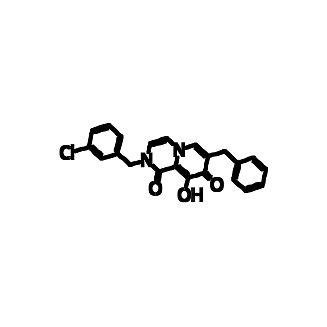 O=c1c(Cc2ccccc2)cn2ccn(Cc3cccc(Cl)c3)c(=O)c2c1O